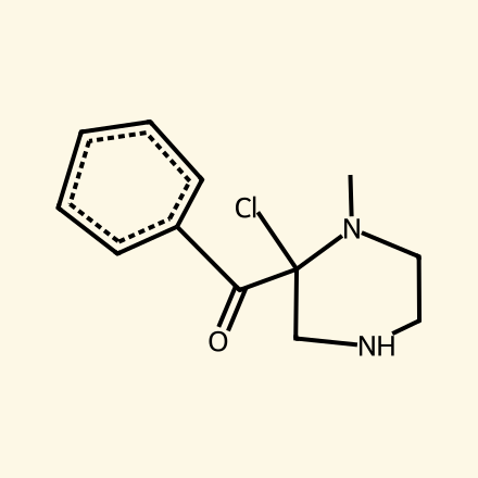 CN1CCNCC1(Cl)C(=O)c1ccccc1